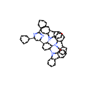 c1ccc(-c2cc(-c3ccc(-n4c5ccccc5c5ccccc54)c(-n4c5ccccc5c5ccccc54)c3-n3c4ccccc4c4ccccc43)nc(-c3ccccc3)n2)cc1